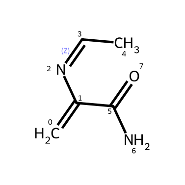 C=C(/N=C\C)C(N)=O